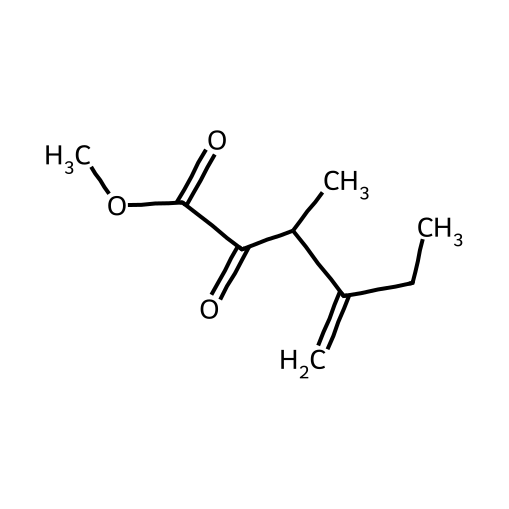 C=C(CC)C(C)C(=O)C(=O)OC